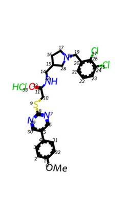 COc1ccc(-c2cnc(SCC(=O)NCC3CCN(Cc4cccc(Cl)c4Cl)C3)nc2)cc1.Cl